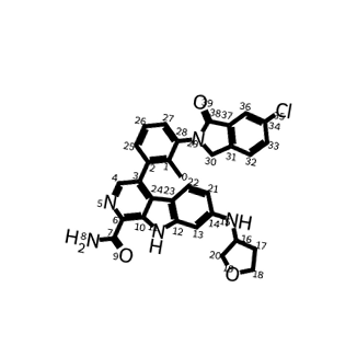 Cc1c(-c2cnc(C(N)=O)c3[nH]c4cc(NC5CCOC5)ccc4c23)cccc1N1Cc2ccc(Cl)cc2C1=O